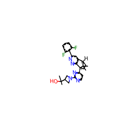 CC(C)(O)C1CN(c2nccc([C@@]34CC[C@@H](c5cc(-c6c(F)cccc6F)nnc53)C4(C)C)n2)C1